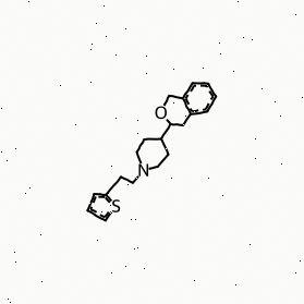 c1csc(CCN2CCC(C3Cc4ccccc4CO3)CC2)c1